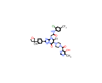 CCc1c(N2CCN(C(=O)c3ncnc(C)c3O)CC2)c(=O)n2nc(-c3ccc(C4(C#N)CCOC4)cc3)nc2n1CC(=O)Nc1ccc(C(F)(F)F)cc1Cl